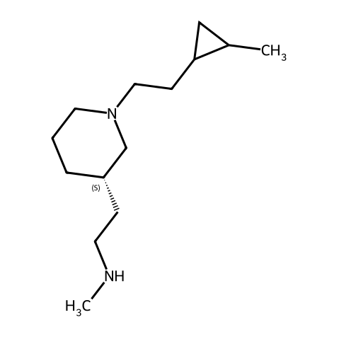 CNCC[C@@H]1CCCN(CCC2CC2C)C1